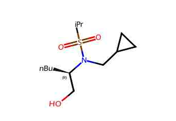 CCCC[C@H](CO)N(CC1CC1)S(=O)(=O)C(C)C